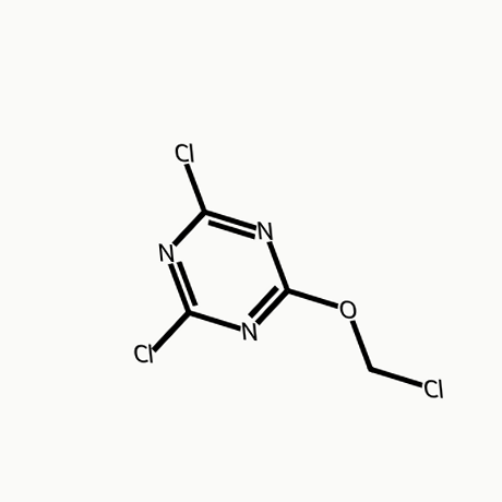 ClCOc1nc(Cl)nc(Cl)n1